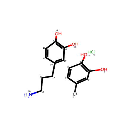 CCc1ccc(O)c(O)c1.Cl.NCCCc1ccc(O)c(O)c1